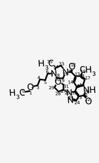 CCOCCCCN1CCN(C(=O)c2cc3c(cc2C)[nH]c(=O)c2cnn([C@H]4CCOC4)c23)C[C@H]1C